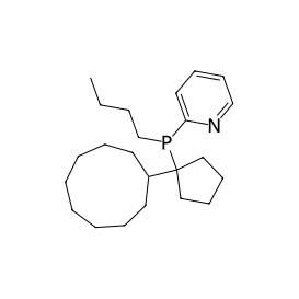 CCCCP(c1ccccn1)C1(C2CCCCCCCC2)CCCC1